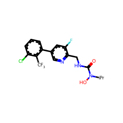 CC(C)N(O)C(=O)NCc1ncc(-c2cccc(Cl)c2C(F)(F)F)cc1F